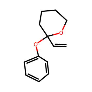 C=CC1(Oc2ccccc2)CCCCO1